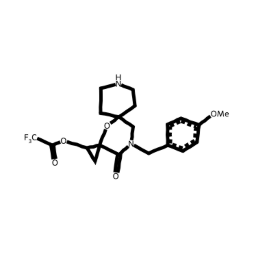 COc1ccc(CN2CC3(CCNCC3)OC3(CC3OC(=O)C(F)(F)F)C2=O)cc1